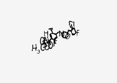 CS(=O)(=O)NC(=O)c1cc(C2CC2)c(CN2CCOC(Cc3ccc(F)cc3Cl)C2)cc1F